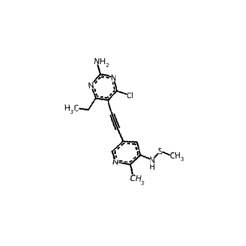 CCc1nc(N)nc(Cl)c1C#Cc1cnc(C)c(NSC)c1